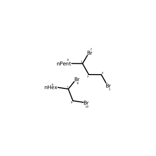 CCCCCC(Br)CCBr.CCCCCCC(Br)CBr